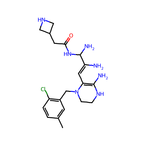 Cc1ccc(Cl)c(CN2CCNC(N)=C2/C=C(\N)C(N)NC(=O)CC2CNC2)c1